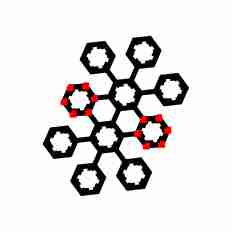 c1ccc(-c2c(-c3ccccc3)c(-c3ccccc3)c(-c3c(-c4ccccc4)c(-c4ccccc4)c(-c4ccccc4)c(-c4ccccc4)c3-c3ccccc3)c(-c3ccccc3)c2-c2ccccc2)cc1